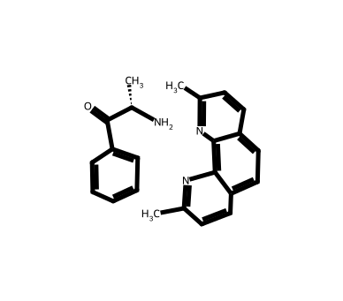 C[C@H](N)C(=O)c1ccccc1.Cc1ccc2ccc3ccc(C)nc3c2n1